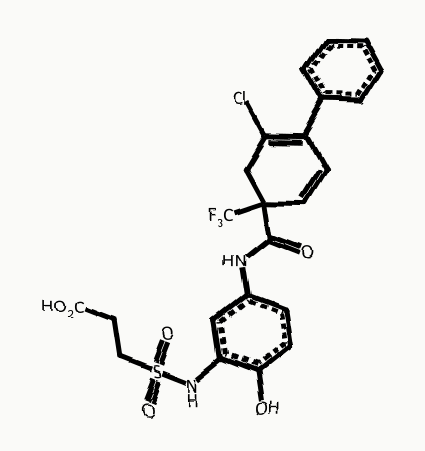 O=C(O)CCS(=O)(=O)Nc1cc(NC(=O)C2(C(F)(F)F)C=CC(c3ccccc3)=C(Cl)C2)ccc1O